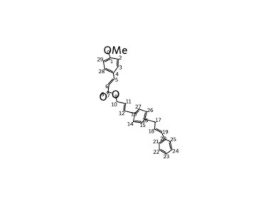 COc1ccc(C=CC(=O)OCC=Cc2ccc(CC=Cc3ccccc3)cc2)cc1